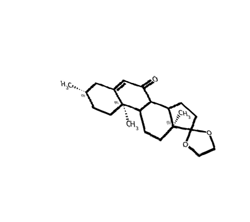 C[C@H]1CC[C@@]2(C)C(=CC(=O)C3C2CC[C@@]2(C)C3CCC23OCCO3)C1